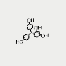 Oc1ccc(C(c2ccc(O)cc2)c2ccc(O)cc2O)cc1